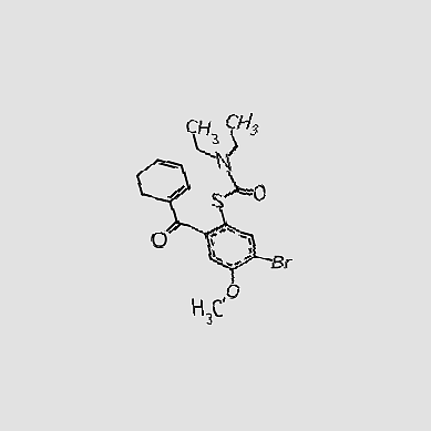 CCN(CC)C(=O)Sc1cc(Br)c(OC)cc1C(=O)C1=CC=CCC1